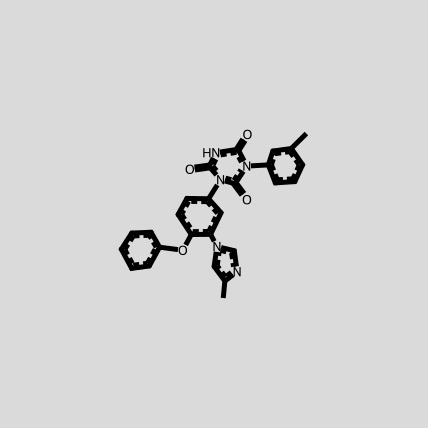 Cc1cccc(-n2c(=O)[nH]c(=O)n(-c3ccc(Oc4ccccc4)c(-n4cnc(C)c4)c3)c2=O)c1